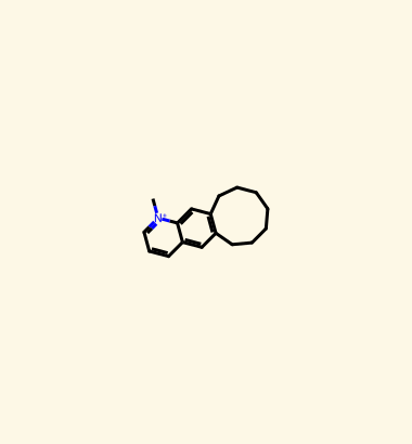 C[n+]1cccc2cc3c(cc21)CCCCCCC3